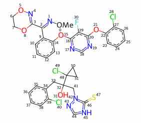 CON=C(C1=NOCCO1)c1ccccc1Oc1ncnc(Oc2ccccc2Cl)c1F.OC(Cc1ccccc1Cl)(Cn1nc[nH]c1=S)C1(Cl)CC1